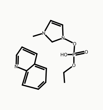 CCOP(=O)(O)ON1C=CN(C)C1.c1ccc2ncccc2c1